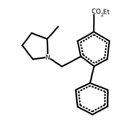 CCOC(=O)c1ccc(-c2ccccc2)c(CN2CCCC2C)c1